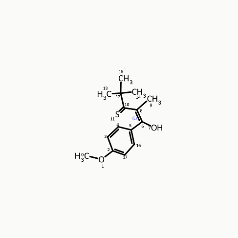 COc1ccc(/C(O)=C(/C)C(=S)C(C)(C)C)cc1